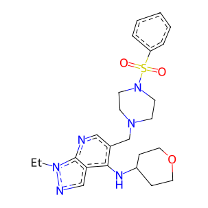 CCn1ncc2c(NC3CCOCC3)c(CN3CCN(S(=O)(=O)c4ccccc4)CC3)cnc21